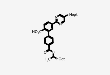 CCCCCCCCC(OC(=O)c1ccc(-c2cc(-c3ncc(CCCCCCC)cn3)ccc2C(=O)O)cc1)C(F)(F)F